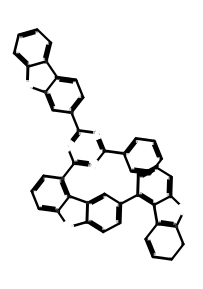 C1=Cc2c(oc3cccc(-c4ccc5oc6cccc(-c7nc(-c8ccccc8)nc(-c8ccc9c(c8)oc8ccccc89)n7)c6c5c4)c23)CC1